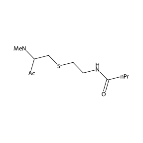 CCCC(=O)NCCSCC(NC)C(C)=O